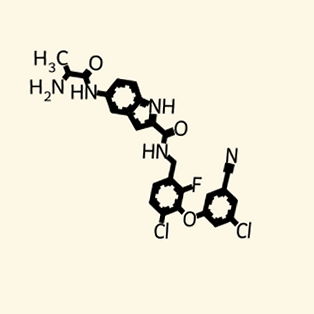 CC(N)C(=O)Nc1ccc2[nH]c(C(=O)NCc3ccc(Cl)c(Oc4cc(Cl)cc(C#N)c4)c3F)cc2c1